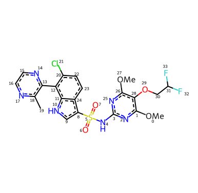 COc1nc(NS(=O)(=O)c2c[nH]c3c(-c4nccnc4C)c(Cl)ccc23)nc(OC)c1OCC(F)F